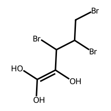 OC(O)=C(O)C(Br)C(Br)CBr